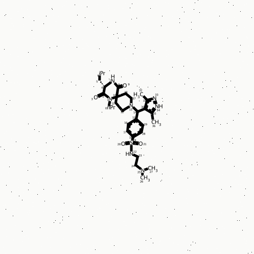 CCCN1C(=O)[C@H](CC(C)C)NC(=O)C12CCN(C(c1ccc(S(=O)(=O)NCCN(C)C)cc1)c1c(C)n[nH]c1C)CC2